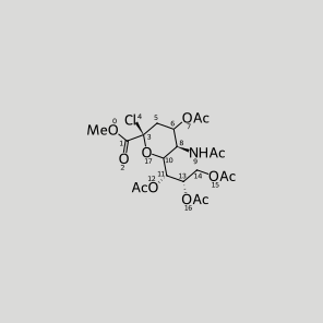 COC(=O)[C@]1(Cl)CC(OC(C)=O)[C@@H](NC(C)=O)C([C@@H](OC(C)=O)[C@H](COC(C)=O)OC(C)=O)O1